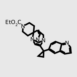 CCOC(=O)N1CCC2(CC1)C1=CN=C3N(C1)C(C1(c4ccc5ncccc5c4)CC1)=CN32